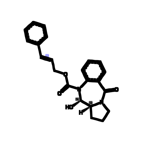 O=C1c2ccccc2N(C(=O)OC/C=C/c2ccccc2)[C@@H](O)[C@@H]2CCCN12